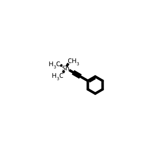 [CH3][Sn]([CH3])([CH3])[C]#CC1=CCCCC1